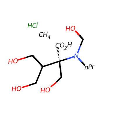 C.CCCN(CO)[C@](CO)(C(=O)O)C(CO)CO.Cl